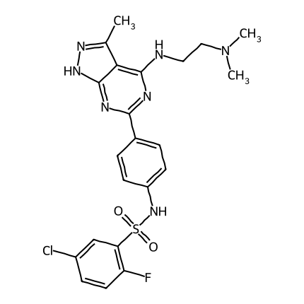 Cc1n[nH]c2nc(-c3ccc(NS(=O)(=O)c4cc(Cl)ccc4F)cc3)nc(NCCN(C)C)c12